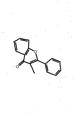 Cc1c(-c2ccccc2)oc2[c]cccc2c1=O